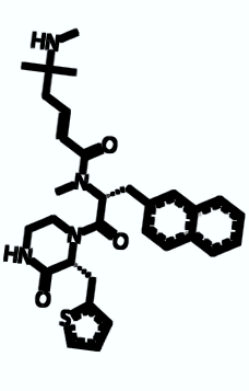 CNC(C)(C)CC=CC(=O)N(C)[C@H](Cc1ccc2ccccc2c1)C(=O)N1CCNC(=O)[C@H]1Cc1cccs1